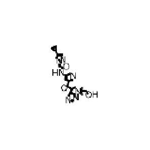 CC(C)(CO)N1CC(C(=O)c2cncc(NC(=O)Cn3cc(C4CC4)cn3)c2)c2cncnc21